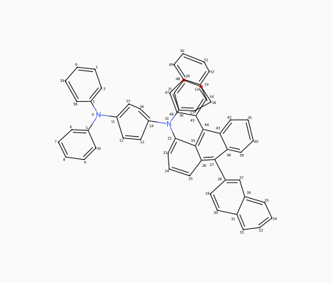 c1ccc(N(c2ccccc2)c2ccc(N(c3ccccc3)c3cccc4c(-c5ccc6ccccc6c5)c5ccccc5c(-c5ccc6ccccc6c5)c34)cc2)cc1